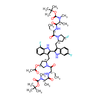 CC[C@H](NC(=O)[C@H](C)N(C)C(=O)OC(C)(C)C)C(=O)N1C[C@@H](F)C[C@H]1Cc1c(-c2[nH]c3c(F)cccc3c2C[C@@H]2C[C@H](OC(C)=O)CN2C(=O)[C@H](CC)NC(=O)[C@H](C)N(C)C(=O)OC(C)(C)C)[nH]c2cc(F)ccc12